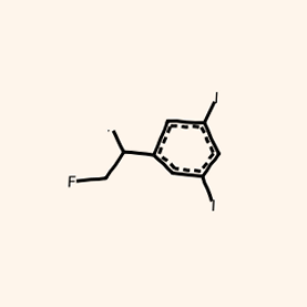 [CH2]C(CF)c1cc(I)cc(I)c1